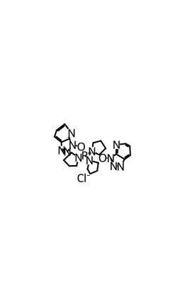 [Cl-].c1cnc2c(c1)nnn2OC1CCCN1[P+](On1nnc2cccnc21)(N1CCCC1)N1CCCC1